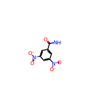 [NH]C(=O)c1cc([N+](=O)[O-])cc([N+](=O)[O-])c1